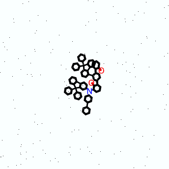 c1ccc(-c2ccc(N(c3ccc4c(c3)C(c3ccccc3)(c3ccccc3)c3ccccc3-4)c3cccc4c3oc3c(-c5cccc6c5-c5ccccc5C6(c5ccccc5)c5ccccc5)c5c(cc34)oc3ccccc35)cc2)cc1